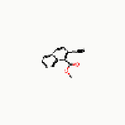 C#Cc1ccc2ccccc2c1C(=O)OC